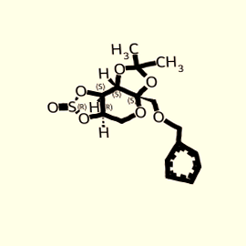 CC1(C)O[C@H]2[C@@H]3O[S@@](=O)O[C@@H]3CO[C@@]2(COCc2ccccc2)O1